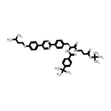 CC(C)CCOc1ccc(-c2cnc(-c3ccc(C[C@H](NC(=O)c4ccc(C(C)(C)C)cc4)C(=O)NCCC(=O)OC(C)(C)C)cc3)nc2)cc1